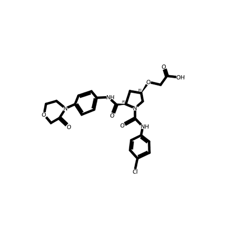 O=C(O)CO[C@@H]1C[C@H](C(=O)Nc2ccc(N3CCOCC3=O)cc2)N(C(=O)Nc2ccc(Cl)cc2)C1